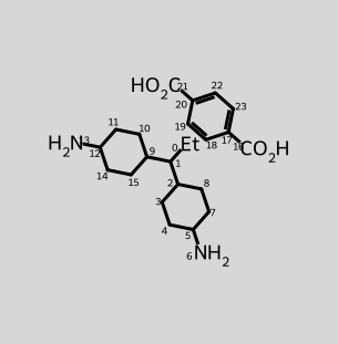 CCC(C1CCC(N)CC1)C1CCC(N)CC1.O=C(O)c1ccc(C(=O)O)cc1